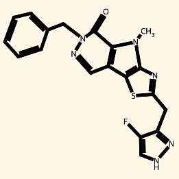 Cn1c2nc(Cc3n[nH]cc3F)sc2c2cnn(Cc3ccccc3)c(=O)c21